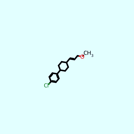 COCC=CC1CCC(c2ccc(Cl)cc2)CC1